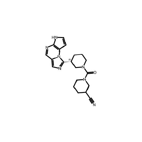 N#CC1CCCN(C(=O)N2CCC[C@@H](c3ncc4cnc5[nH]ccc5n34)C2)C1